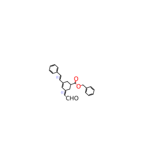 O=C/C=C1C=C(/C=C/c2ccccc2)CC(C(=O)OCc2ccccc2)C/1